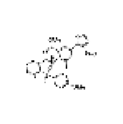 COC(=O)c1cc(-c2sccc2C=O)cc(C)c1NCc1cccnc1S(=O)(=O)c1ccc(OC)cc1